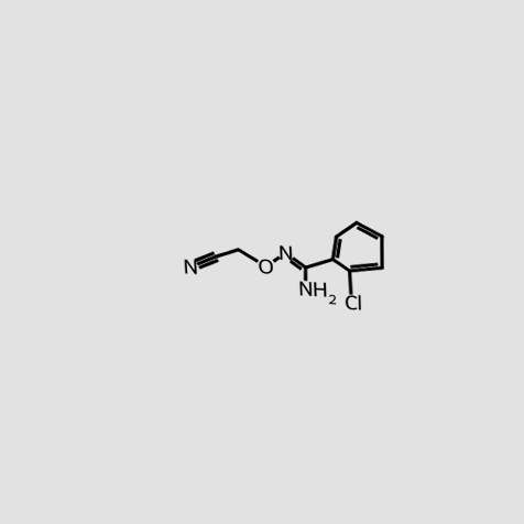 N#CCO/N=C(\N)c1ccccc1Cl